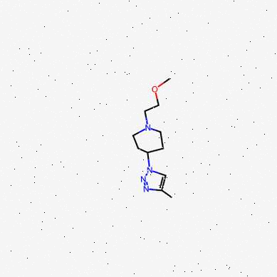 COCCN1CCC(n2cc(C)nn2)CC1